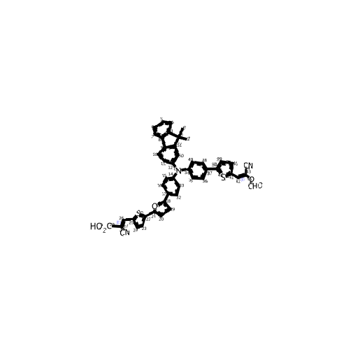 CC1(C)c2ccccc2-c2ccc(N(c3ccc(-c4ccc(-c5ccc(/C=C(\C#N)C(=O)O)s5)o4)cc3)c3ccc(-c4ccc(/C=C(\C#N)OC=O)s4)cc3)cc21